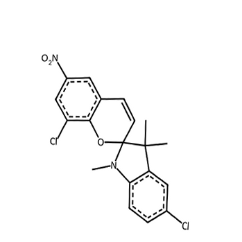 CN1c2ccc(Cl)cc2C(C)(C)C12C=Cc1cc([N+](=O)[O-])cc(Cl)c1O2